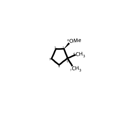 CO[C@@H]1CCCC1(C)C